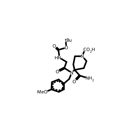 COc1ccc(CN(C(=O)CNC(=O)OC(C)(C)C)C2(C(N)=O)CCN(C(=O)O)CC2)cc1